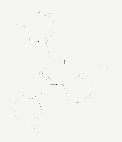 CSc1cccc2c(-c3ccccc3)nc(-c3cccc(C)n3)nc12